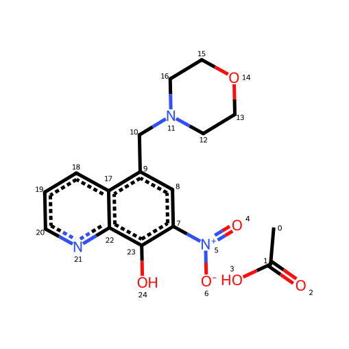 CC(=O)O.O=[N+]([O-])c1cc(CN2CCOCC2)c2cccnc2c1O